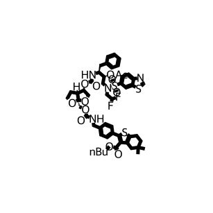 CCCCOC(=O)c1c(-c2ccc(CNC(=O)OC[C@]34OCC[C@H]3[C@@H](OC(=O)N[C@@H](Cc3ccccc3)[C@@H](CN(CC(F)F)S(=O)(=O)c3ccc5ncsc5c3)OC(C)=O)CO4)cc2)sc2c1CC(C)(C)CC2